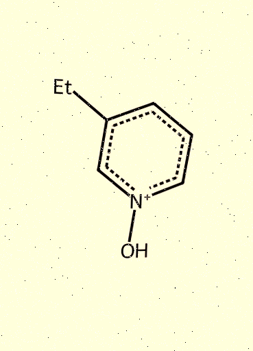 CCc1ccc[n+](O)c1